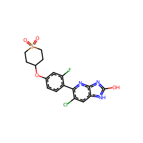 O=S1(=O)CCC(Oc2ccc(-c3nc4nc(O)[nH]c4cc3Cl)c(F)c2)CC1